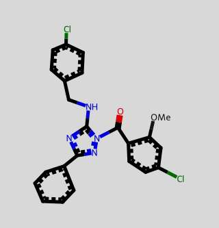 COc1cc(Cl)ccc1C(=O)n1nc(-c2ccccc2)nc1NCc1ccc(Cl)cc1